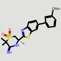 COc1cccc(-c2ccc3nc([C@]4(C)CS(=O)(=O)C(C)(C)C(=N)N4)sc3c2)c1